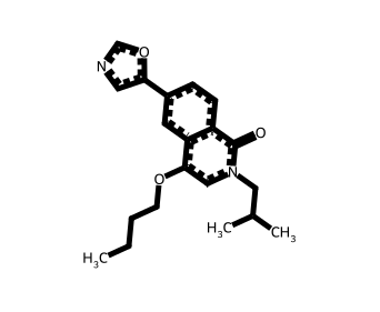 CCCCOc1[c]n(CC(C)C)c(=O)c2ccc(-c3cnco3)cc12